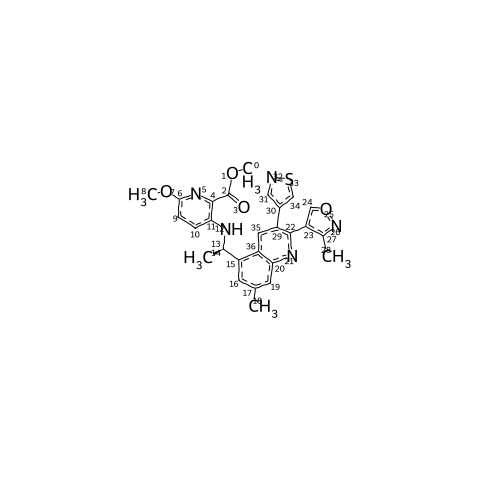 COC(=O)c1nc(OC)ccc1N[C@H](C)c1cc(C)cc2nc(-c3conc3C)c(-c3cnsc3)cc12